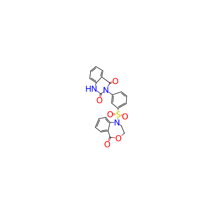 O=C1OCCN(S(=O)(=O)c2cccc(-n3c(=O)[nH]c4ccccc4c3=O)c2)c2ccccc21